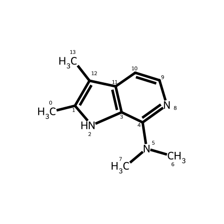 Cc1[nH]c2c(N(C)C)nccc2c1C